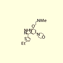 CCc1ccc(/C(=N/N)c2cc(N3CCOCC3)cc(OCCNC)n2)s1